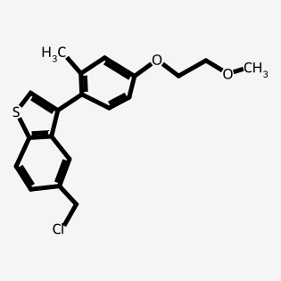 COCCOc1ccc(-c2csc3ccc(CCl)cc23)c(C)c1